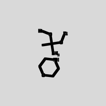 C1COCCN1.CCOC(C)([SiH3])OCC